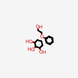 OC1CCCC(O)C1O.OCCOc1ccccc1